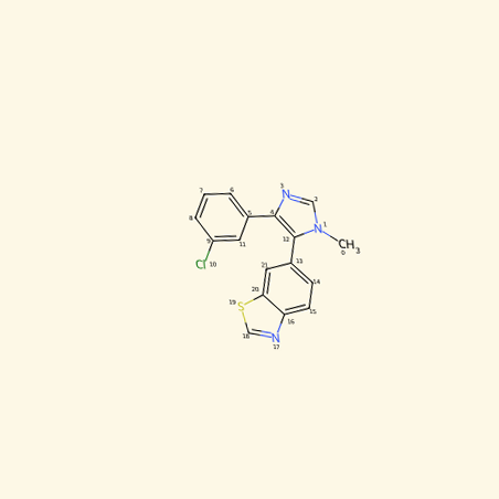 Cn1cnc(-c2cccc(Cl)c2)c1-c1ccc2ncsc2c1